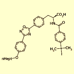 CCCCCCCOc1ccc(-c2noc(-c3ccc(C[C@H](NC(=O)c4ccc(C(C)(C)I)cc4)C(=O)O)cc3)n2)cc1